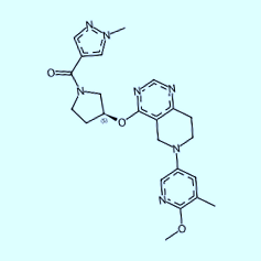 COc1ncc(N2CCc3ncnc(O[C@H]4CCN(C(=O)c5cnn(C)c5)C4)c3C2)cc1C